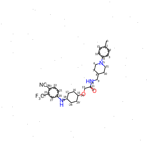 Cc1ccc(N2CCC(CNC(=O)COC3CCC(Nc4ccc(C#N)c(C(F)(F)F)c4)CC3)CC2)cc1